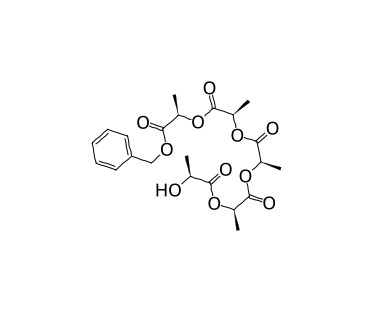 C[C@H](O)C(=O)O[C@H](C)C(=O)O[C@H](C)C(=O)O[C@H](C)C(=O)O[C@H](C)C(=O)OCc1ccccc1